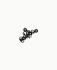 C=Cc1cc(-c2ccc(OCc3ccccc3)nc2OCc2ccccc2)ncc1N1CCC2(CC1)OCCO2